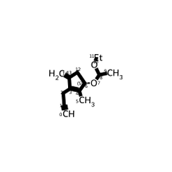 C#CCC1=C(C)[C@@H](OC(C)OCC)CC1=C